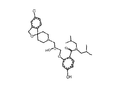 CC(C)CN(CC(C)C)C(=O)c1ccc(O)cc1OC[C@@H](O)CN1CCC2(CC1)OCc1cc(Cl)ccc12